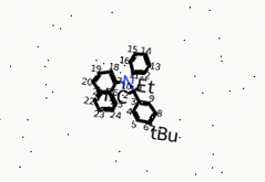 CCC(C)(c1ccc(C(C)(C)C)cc1)N(c1ccccc1)c1cccc2ccccc12